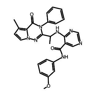 COc1cccc(NC(=O)c2cncnc2NC(C)c2nn3ccc(C)c3c(=O)n2-c2ccccc2)c1